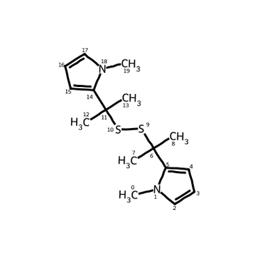 Cn1cccc1C(C)(C)SSC(C)(C)c1cccn1C